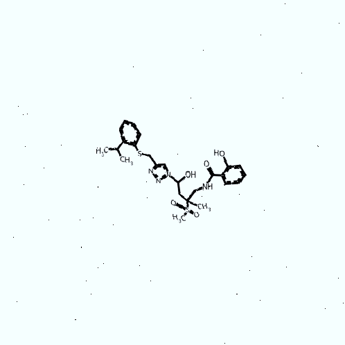 CC(C)c1ccccc1SCc1cn(C(O)CC(C)(CNC(=O)c2ccccc2O)S(C)(=O)=O)nn1